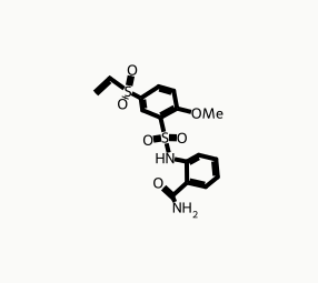 C=CS(=O)(=O)c1ccc(OC)c(S(=O)(=O)Nc2ccccc2C(N)=O)c1